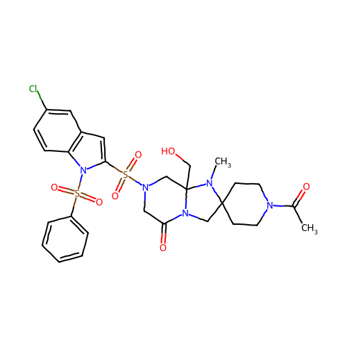 CC(=O)N1CCC2(CC1)CN1C(=O)CN(S(=O)(=O)c3cc4cc(Cl)ccc4n3S(=O)(=O)c3ccccc3)CC1(CO)N2C